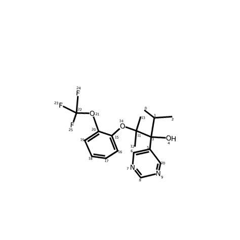 CC(C)C(O)(c1cncnc1)C(C)(C)Oc1ccccc1OC(F)(F)F